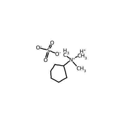 C[N+](C)(C)C1CCCCC1.O=S(=O)([O-])[O-].[H+]